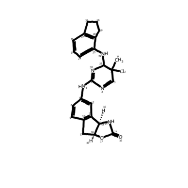 CC1(Cl)C=NC(Nc2ccc3c(c2)[C@H]2NC(=O)O[C@H]2C3)=NC1Nc1cccc2c1CCC2